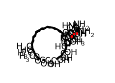 C[C@@H]1[C@H](O)[C@@H](C)/C=C/C=C/C=C/C=C/C=C/C=C/C=C/[C@H](O[C@@H]2O[C@H](C)[C@@H](O)[C@H](NC(=N)N)[C@@H]2O)C[C@@H]2O[C@](O)(C[C@@H](O)C[C@@H](O)[C@H](O)CC[C@@H](O)C[C@@H](O)CC(=O)O[C@H]1C)C[C@H](O)[C@H]2NC(=O)NNC(N)=O